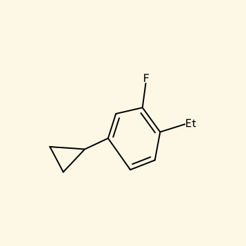 CCc1ccc(C2CC2)cc1F